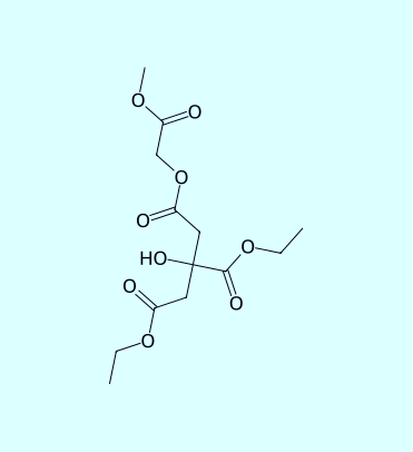 CCOC(=O)CC(O)(CC(=O)OCC(=O)OC)C(=O)OCC